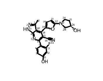 Cc1n[nH]c2nc(-c3ccc(O)cc3F)c(C#N)c(-c3ccc(N4CC[C@@H](O)C4)o3)c12